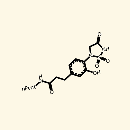 CCCCCNC(=O)CCc1ccc(N2CC(=O)NS2(=O)=O)c(O)c1